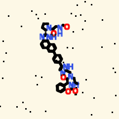 CCCN(Cc1ncc(-c2ccc(-c3ccc4c(ccc5nc([C@@H]6CCCN6C(=O)CNC=O)[nH]c54)c3)cc2)[nH]1)C(=O)[C@H](NC(=O)OC)c1ccccc1